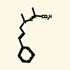 CC(=NN(C)C/C=C/c1ccccc1)C(=O)O